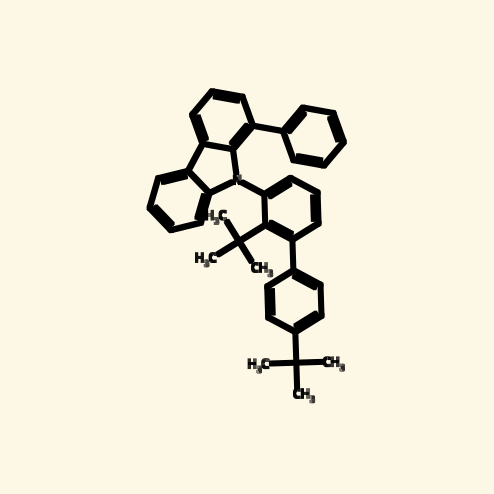 CC(C)(C)c1ccc(-c2cccc(-n3c4ccccc4c4cccc(-c5ccccc5)c43)c2C(C)(C)C)cc1